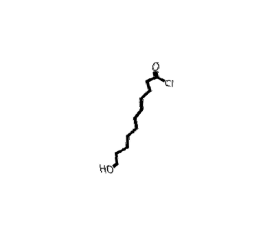 O=C(Cl)CCCCCCCCCCO